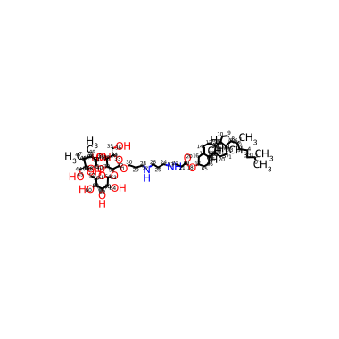 CC(C)CCC[C@@H](C)[C@H]1CC[C@H]2[C@@H]3CC=C4CC(OC(=O)CCNCCCNCCCOC5O[C@@H](CO)[C@@H](O)C(OC6O[C@@H](CO)[C@@H](C)[C@H](C)[C@@H]6O)C5OC5OC(CO)[C@H](O)[C@H](O)[C@H]5O)CC[C@]4(C)[C@H]3CC[C@]12C